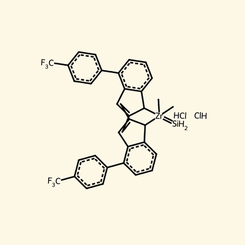 CC1=Cc2c(-c3ccc(C(F)(F)F)cc3)cccc2[CH]1[Zr]([CH3])([CH3])(=[SiH2])[CH]1C(C)=Cc2c(-c3ccc(C(F)(F)F)cc3)cccc21.Cl.Cl